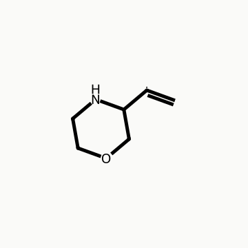 C=[C]C1COCCN1